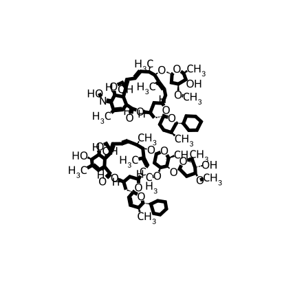 CO[C@H]1C[C@H](O[C@@H]2/C(C)=C/C[C@@H]3C[C@@H](C[C@]4(CC[C@H](C)[C@@H](C5CCCCC5)O4)O3)OC(=O)[C@@H]3C=C(C)/C(=N/O)[C@H]4OC/C(=C\C=C\[C@@H]2C)[C@]43O)O[C@@H](C)[C@@H]1O.CO[C@H]1C[C@H](O[C@H]2[C@H](C)O[C@@H](O[C@@H]3/C(C)=C/C[C@@H]4C[C@@H](C[C@]5(C=C[C@H](C)[C@@H](C6CCCCC6)O5)O4)OC(=O)[C@@H]4C=C(C)[C@@H](O)[C@H]5OC/C(=C\C=C\[C@@H]3C)[C@]54O)C[C@@H]2OC)O[C@@H](C)[C@@H]1O